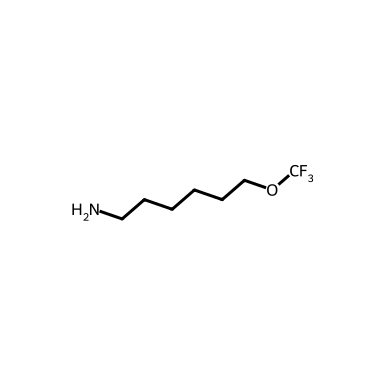 NCCCCCCOC(F)(F)F